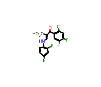 O=C(O)/C(=C\Nc1ccc(F)cc1F)C(=O)c1cc(F)c(F)cc1Cl